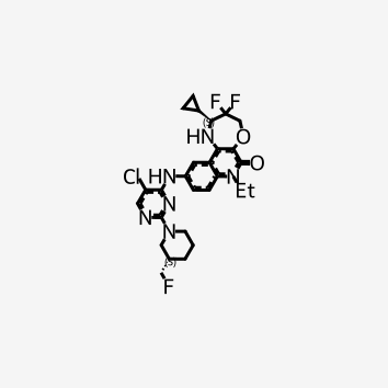 CCn1c(=O)c2c(c3cc(Nc4nc(N5CCC[C@H](CF)C5)ncc4Cl)ccc31)N[C@@H](C1CC1)C(F)(F)CO2